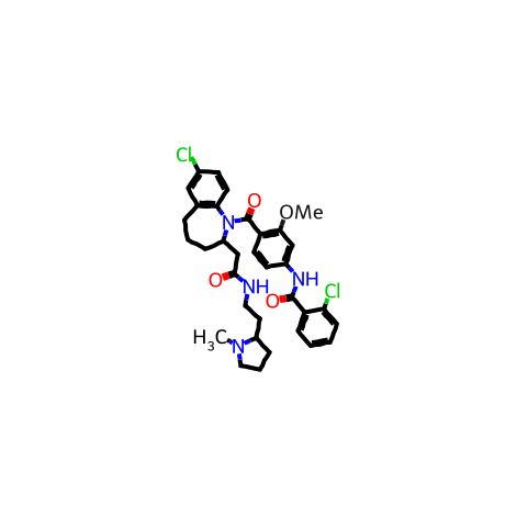 COc1cc(NC(=O)c2ccccc2Cl)ccc1C(=O)N1c2ccc(Cl)cc2CCCC1CC(=O)NCCC1CCCN1C